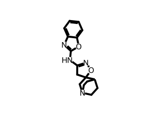 c1ccc2oc(NC3=NOC4(C3)CN3CCC4CC3)nc2c1